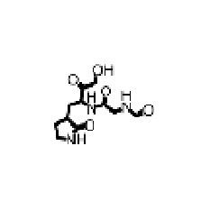 O=CNCC(=O)NC(CC1CCNC1=O)C(=O)CO